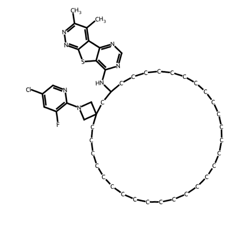 Cc1nnc2sc3c(NC4CCCCCCCCCCCCCCCCCCCCCCCCCCCCC5(C4)CN(c4ncc(Cl)cc4F)C5)ncnc3c2c1C